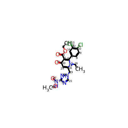 CCOC(=O)c1c(-c2ccc(Cl)c(Cl)c2)n(CC)c(Cn2cnc([NH+]([O-])OC)n2)cc1=O